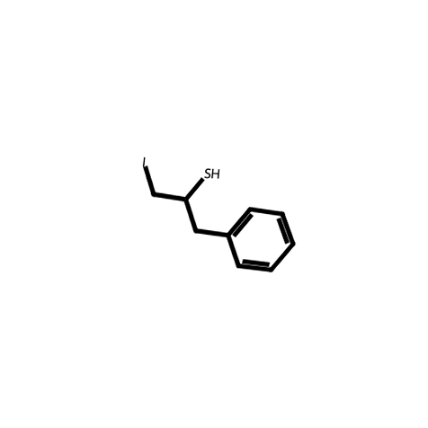 SC(CI)Cc1ccccc1